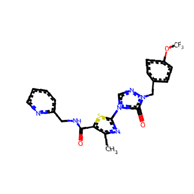 Cc1nc(-n2cnn(Cc3ccc(OC(F)(F)F)cc3)c2=O)sc1C(=O)NCc1ccccn1